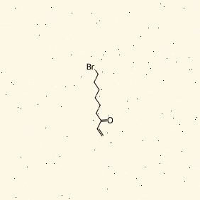 C=CC(=O)CCCCCCBr